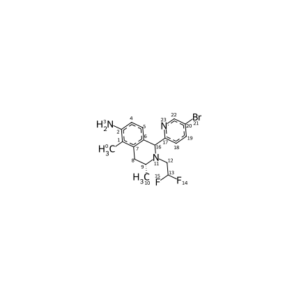 Cc1c(N)ccc2c1C[C@@H](C)N(CC(F)F)C2c1ccc(Br)cn1